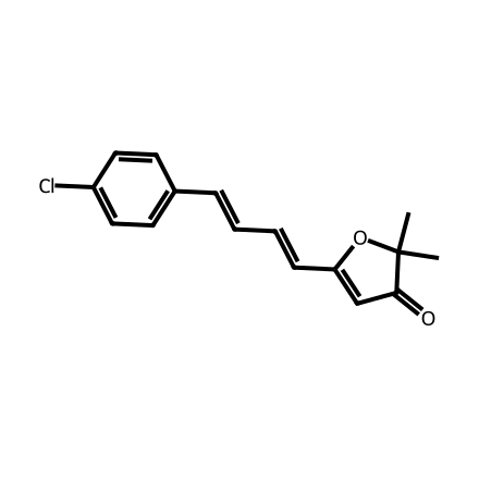 CC1(C)OC(/C=C/C=C/c2ccc(Cl)cc2)=CC1=O